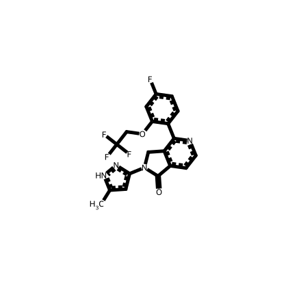 Cc1cc(N2Cc3c(ccnc3-c3ccc(F)cc3OCC(F)(F)F)C2=O)n[nH]1